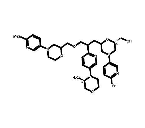 CSc1ccc(N2CCOC(COCC(CC3CN(c4ccc(C(C)C)nc4)C[C@@H](CO)O3)c3ccc(N4CCOC[C@H]4C)cn3)C2)cn1